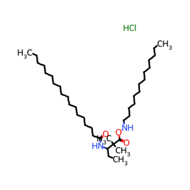 CCCCCCCCCCCCCCCCCC(=O)NC(CC)C(C)(C)C(=O)ONCCCCCCCCCCCCCC.Cl